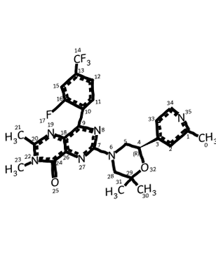 Cc1cc([C@@H]2CN(c3nc(-c4ccc(C(F)(F)F)cc4F)c4nc(C)n(C)c(=O)c4n3)CC(C)(C)O2)ccn1